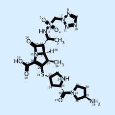 CC(NS(=O)(=O)Cn1ncnn1)[C@H]1C(=O)N2C(C(=O)O)=C(S[C@@H]3CN[C@H](C(=O)N4CC[C@@H](N)C4)C3)[C@H](C)[C@H]12